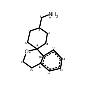 NCC1CCC2(CC1)OCCc1ccccc12